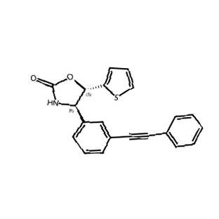 O=C1N[C@H](c2cccc(C#Cc3ccccc3)c2)[C@@H](c2cccs2)O1